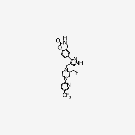 O=C1NCc2cc(-c3n[nH]cc3CN3CCN(c4ccc(C(F)(F)F)cn4)CC3CF)ccc2O1